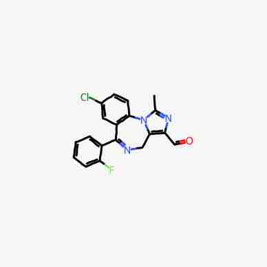 Cc1nc(C=O)c2n1-c1ccc(Cl)cc1C(c1ccccc1F)=NC2